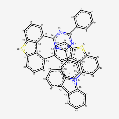 c1ccc(-c2nc(-c3ccccc3)nc(-c3cccc4sc5cccc(-c6ccc7sc8cccc(-n9c%10ccccc%10c%10ccccc%109)c8c7c6)c5c34)n2)cc1